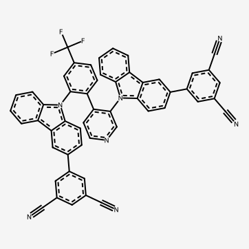 N#Cc1cc(C#N)cc(-c2ccc3c(c2)c2ccccc2n3-c2cnccc2-c2ccc(C(F)(F)F)cc2-n2c3ccccc3c3cc(-c4cc(C#N)cc(C#N)c4)ccc32)c1